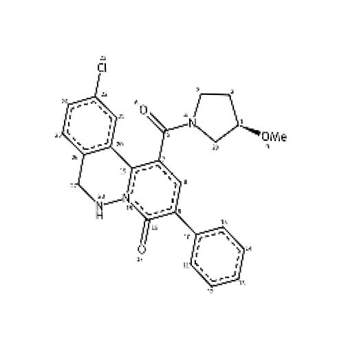 CO[C@@H]1CCN(C(=O)c2cc(-c3ccccc3)c(=O)n3c2-c2cc(Cl)ccc2CN3)C1